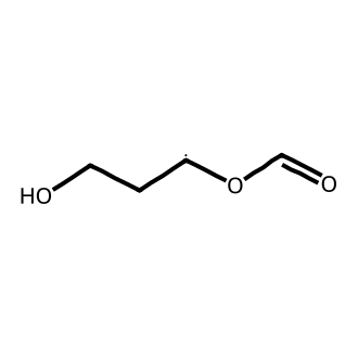 O=CO[CH]CCO